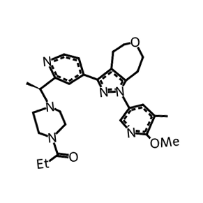 CCC(=O)N1CCN([C@@H](C)c2cc(-c3nn(-c4cnc(OC)c(C)c4)c4c3CCOCC4)ccn2)CC1